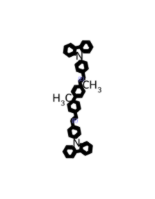 CC1(/C=C/c2ccc(-n3c4ccccc4c4ccccc43)cc2)C=CC(C2(C)C=CC(/C=C/c3ccc(-n4c5ccccc5c5ccccc54)cc3)=CC2)=CC1